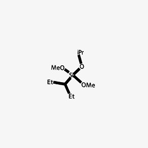 CCC(CC)[Si](OC)(OC)OC(C)C